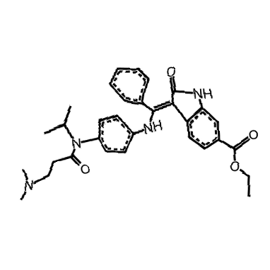 CCOC(=O)c1ccc2c(c1)NC(=O)C2=C(Nc1ccc(N(C(=O)CCN(C)C)C(C)C)cc1)c1ccccc1